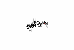 C#CCCCN(C)CC12CC(c3ccc(OCCCC4=CN=C(N5CCCc6c5nnc(Nc5nc7ccccc7s5)c6C)[SH]4C(=O)O)c(F)c3)(C1)C2